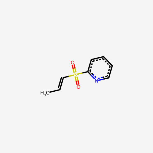 CC=CS(=O)(=O)c1ccccn1